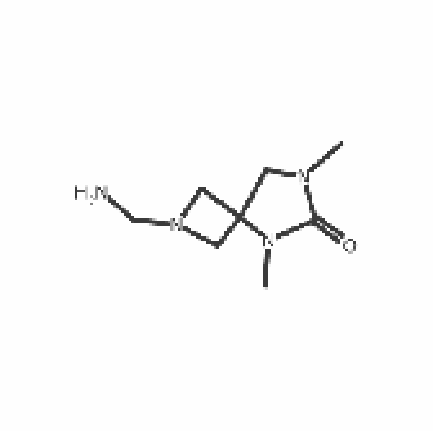 CN1CC2(CN(CN)C2)N(C)C1=O